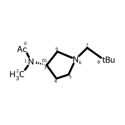 CC(=O)N(C)[C@H]1CCN(CC(C)(C)C)C1